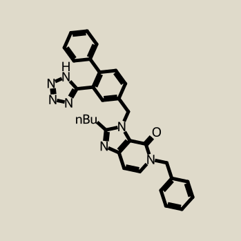 CCCCc1nc2ccn(Cc3ccccc3)c(=O)c2n1Cc1ccc(-c2ccccc2)c(-c2nnn[nH]2)c1